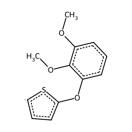 COc1cccc(Oc2cc[c]s2)c1OC